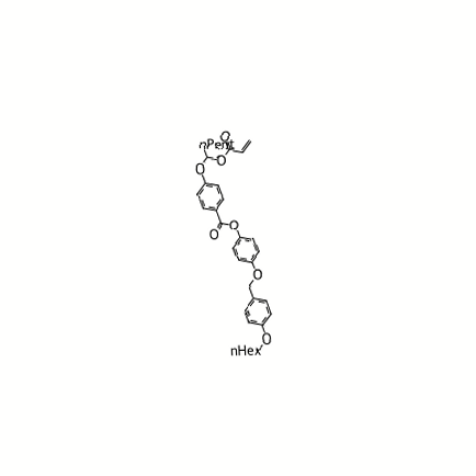 C=CC(=O)OC(CCCCC)Oc1ccc(C(=O)Oc2ccc(OCc3ccc(OCCCCCC)cc3)cc2)cc1